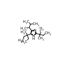 CCC(C)(C)c1nc(C(C)C(C)C)c(C(C)(CC)CC)[nH]1